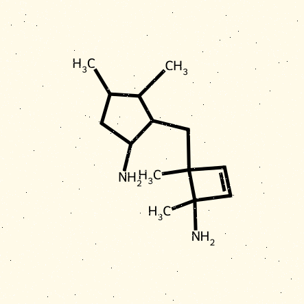 CC1CC(N)C(CC2(C)C=CC2(C)N)C1C